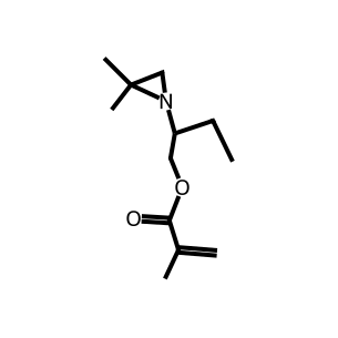 C=C(C)C(=O)OCC(CC)N1CC1(C)C